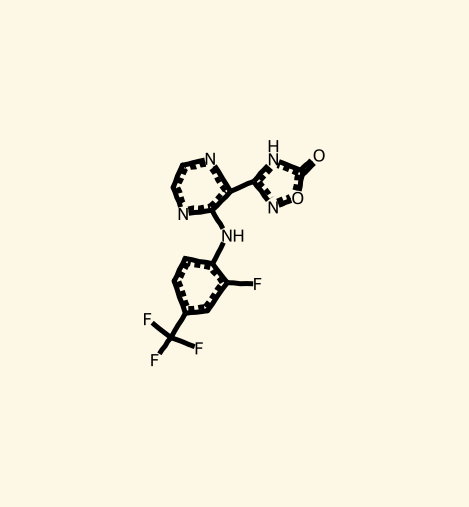 O=c1[nH]c(-c2nccnc2Nc2ccc(C(F)(F)F)cc2F)no1